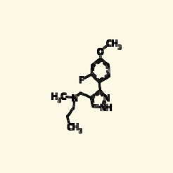 CCCN(C)Cc1c[nH]nc1-c1ccc(OC)cc1F